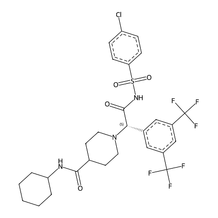 O=C(NC1CCCCC1)C1CCN([C@H](C(=O)NS(=O)(=O)c2ccc(Cl)cc2)c2cc(C(F)(F)F)cc(C(F)(F)F)c2)CC1